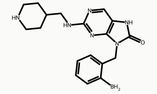 Bc1ccccc1Cn1c(=O)[nH]c2cnc(NCC3CCNCC3)nc21